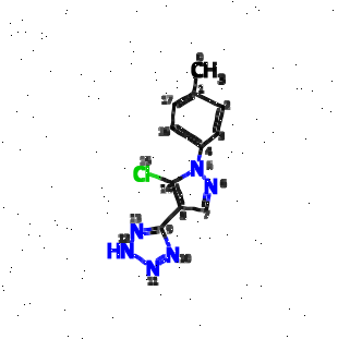 Cc1ccc(-n2ncc(-c3nn[nH]n3)c2Cl)cc1